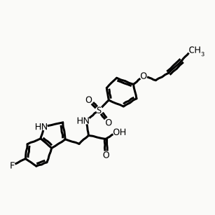 CC#CCOc1ccc(S(=O)(=O)NC(Cc2c[nH]c3cc(F)ccc23)C(=O)O)cc1